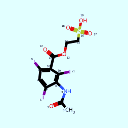 CC(=O)Nc1c(I)cc(I)c(C(=O)OCCS(=O)(=O)O)c1I